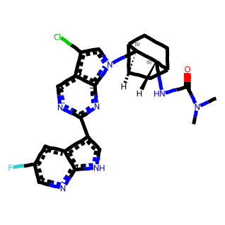 CN(C)C(=O)N[C@H]1C2CCC(CC2)[C@@H]1n1cc(Cl)c2cnc(-c3c[nH]c4ncc(F)cc34)nc21